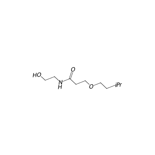 CC(C)CCOCCC(=O)NCCO